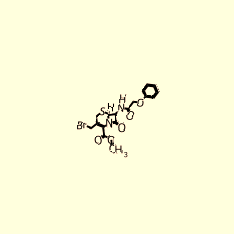 COC(=O)C1=C(CBr)CS[C@H]2C(NC(=O)COc3ccccc3)C(=O)N12